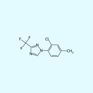 Cc1ccc(-n2cnc(C(F)(F)F)n2)c(Cl)c1